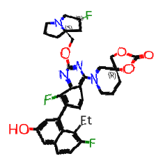 CCc1c(F)ccc2cc(O)cc(-c3ccc4c(N5CCC[C@]6(COC(=O)O6)C5)nc(OC[C@@]56CCCN5C[C@H](F)C6)nc4c3F)c12